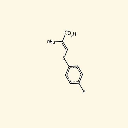 CCCC/C(=C\Sc1ccc(F)cc1)C(=O)O